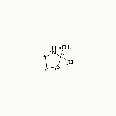 CC1(Cl)NCCS1